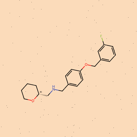 Fc1cccc(COc2ccc(CNC[C@H]3CCCCO3)cc2)c1